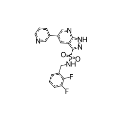 O=S(=O)(NCc1cccc(F)c1F)c1n[nH]c2ncc(-c3cccnc3)cc12